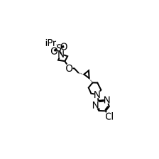 CC(C)S(=O)(=O)N1CC(OCC[C@@H]2C[C@@H]2C2CCN(c3ncc(Cl)cn3)CC2)C1